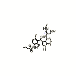 CCCS(=O)(=O)Nc1ccc(F)c(C(=O)C2=CNC3=NC=NC(N/C(C=N)=C/NCC)C23)c1F